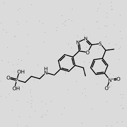 CCc1cc(CNCCCP(=O)(O)O)ccc1-c1nnc(SC(C)c2cccc([N+](=O)[O-])c2)o1